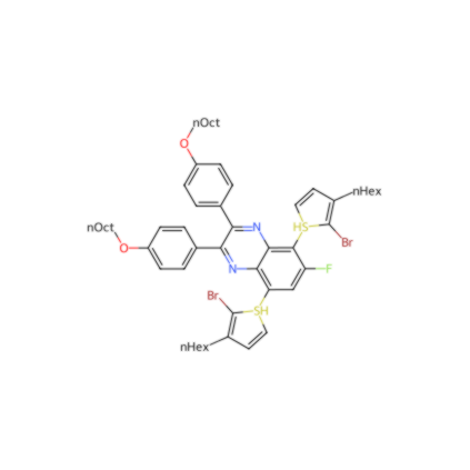 CCCCCCCCOc1ccc(-c2nc3c([SH]4C=CC(CCCCCC)=C4Br)cc(F)c([SH]4C=CC(CCCCCC)=C4Br)c3nc2-c2ccc(OCCCCCCCC)cc2)cc1